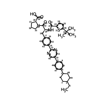 CCC1CCC(c2ccc(-c3cnc(-c4ccc(C[C@H](NC(=O)c5ccc(C(C)(C)C)s5)C(=O)N5CCC[C@H]5C(=O)O)cc4)nc3)cc2)CC1